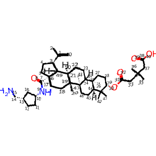 C=C(C)[C@@H]1CC[C@]2(C(=O)N[C@@H]3CC[C@H](CN)C3)CC[C@]3(C)[C@H](CC[C@@H]4[C@@]5(C)CC[C@H](OC(=O)CC(C)(C)CC(=O)O)C(C)(C)[C@@H]5CC[C@]43C)[C@@H]12